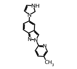 Cc1ccc(-n2cc3cc(N4C=CNC4)ccc3n2)nc1